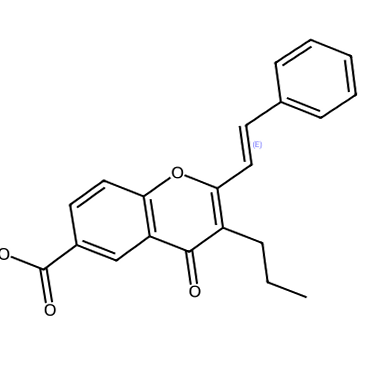 CCCc1c(/C=C/c2ccccc2)oc2ccc(C(=O)O)cc2c1=O